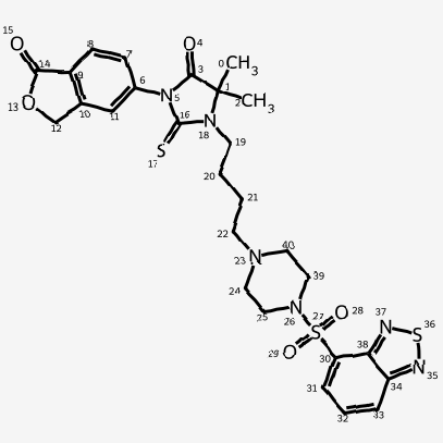 CC1(C)C(=O)N(c2ccc3c(c2)COC3=O)C(=S)N1CCCCN1CCN(S(=O)(=O)c2cccc3nsnc23)CC1